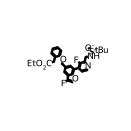 CCOC(=O)Cc1ccccc1OCc1cc(-c2ccnc(CN[S+]([O-])C(C)(C)C)c2F)c2occ(F)c2c1